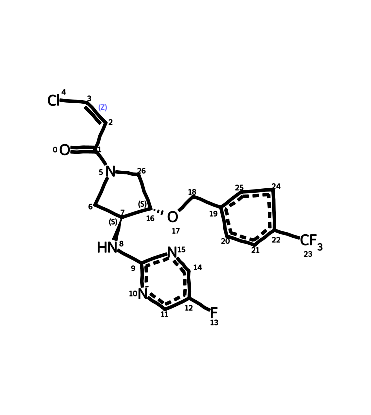 O=C(/C=C\Cl)N1C[C@H](Nc2ncc(F)cn2)[C@@H](OCc2ccc(C(F)(F)F)cc2)C1